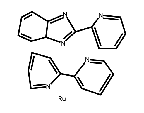 C1=CC2=NC(c3ccccn3)=NC2C=C1.[Ru].c1ccc(-c2ccccn2)nc1